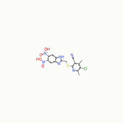 Cc1nc(SCc2nc3cc([N+](=O)O)c([N+](=O)O)cc3[nH]2)c(C#N)c(C)c1Cl